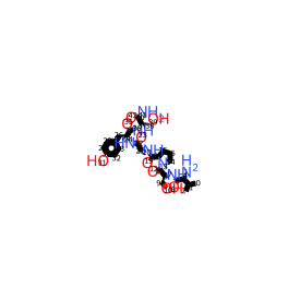 CC(C)[C@H](N)C(=O)N[C@@H](CO)C(=O)N1CCCC1C(=O)NCC(=O)N[C@@H](Cc1ccc(O)cc1)C(=O)N[C@@H](CO)C(N)=O